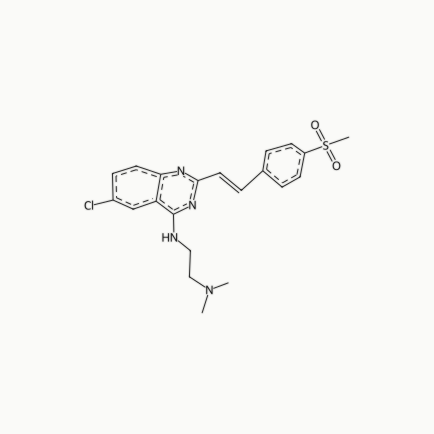 CN(C)CCNc1nc(/C=C/c2ccc(S(C)(=O)=O)cc2)nc2ccc(Cl)cc12